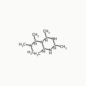 CN(C)[SH](C)N1[SH](C)N[SH](C)N[SH]1C